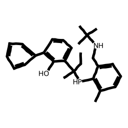 CCC(C)(Pc1c(C)cccc1CNC(C)(C)C)c1cccc(-c2ccccc2)c1O